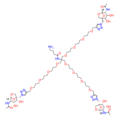 CC(=O)N[C@H]1[C@H]2OC[C@](Cn3cc(COCCCOCCCOCCCOCC(COCCCOCCCOCCCOCc4cn(C[C@@]56CO[C@@H](O5)[C@H](NC(C)=O)[C@@H](O)[C@H]6O)nn4)(COCCCOCCCOCCCOCc4cn(C[C@@]56CO[C@@H](O5)[C@H](NC(C)=O)[C@@H](O)[C@H]6O)nn4)NC(=O)CCCN)nn3)(O2)[C@H](O)[C@@H]1O